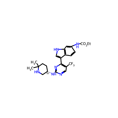 CCOC(=O)Nc1ccc2c(-c3nc(N[C@H]4CCC(C)(C)NC4)ncc3C(F)(F)F)c[nH]c2c1